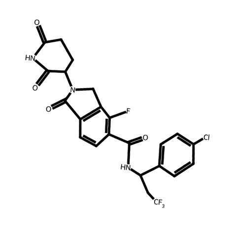 O=C1CCC(N2Cc3c(ccc(C(=O)NC(CC(F)(F)F)c4ccc(Cl)cc4)c3F)C2=O)C(=O)N1